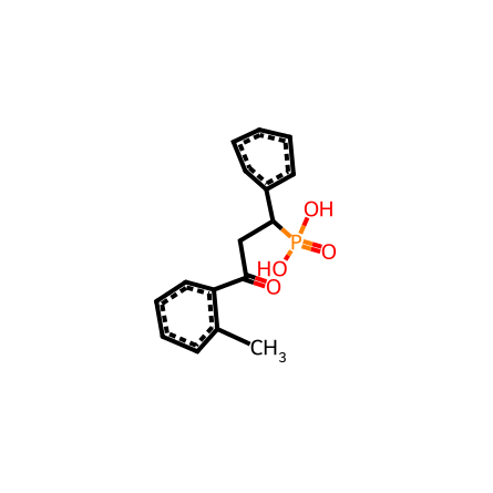 Cc1ccccc1C(=O)CC(c1ccccc1)P(=O)(O)O